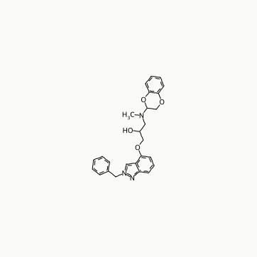 CN(CC(O)COc1cccc2nn(Cc3ccccc3)cc12)C1COc2ccccc2O1